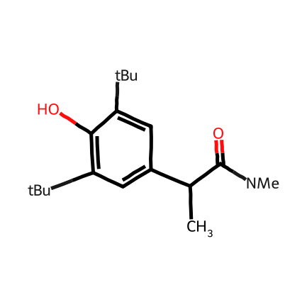 CNC(=O)C(C)c1cc(C(C)(C)C)c(O)c(C(C)(C)C)c1